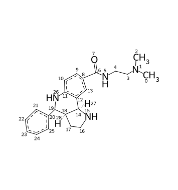 CN(C)CCNC(=O)c1ccc2c(c1)[C@H]1NCC[C@H]1C(c1ccccc1)N2